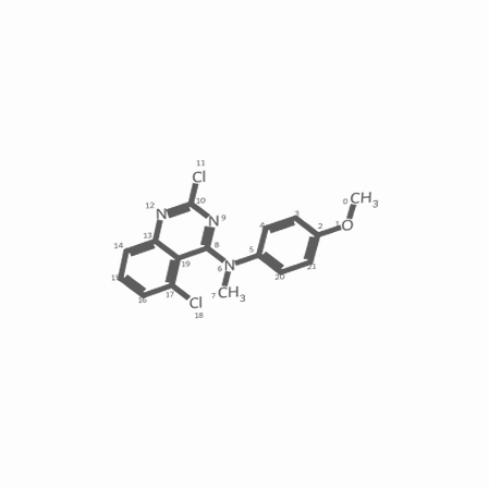 COc1ccc(N(C)c2nc(Cl)nc3cccc(Cl)c23)cc1